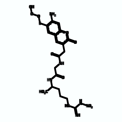 N=C(NCCCC(NC(=O)CNC(=O)Cc1cc2cc(SOOO)c(N)cc2oc1=O)C(=O)O)N[N+](=O)[O-]